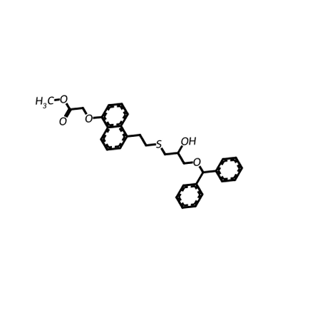 COC(=O)COc1cccc2c(CCSCC(O)COC(c3ccccc3)c3ccccc3)cccc12